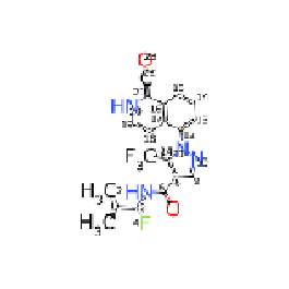 CC(C)=C(F)NC(=O)c1cnn(-c2cccc3c2C=CNC3=C=O)c1C(F)(F)F